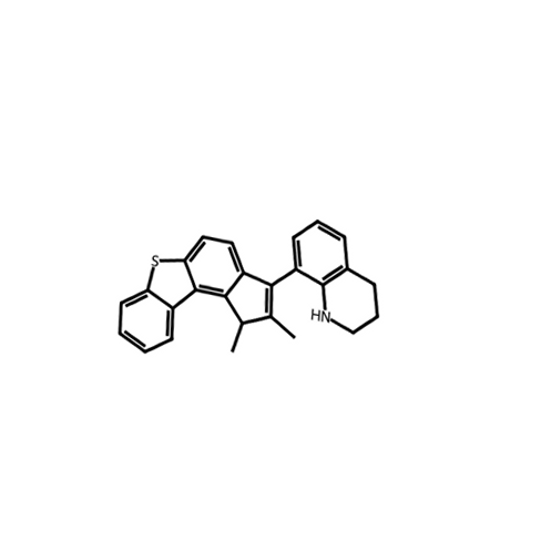 CC1=C(c2cccc3c2NCCC3)c2ccc3sc4ccccc4c3c2C1C